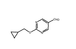 O=Cc1cnc(OCC2CC2)nc1